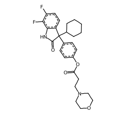 O=C(CCN1CCOCC1)Oc1ccc(C2(C3CCCCC3)C(=O)Nc3c2ccc(F)c3F)cc1